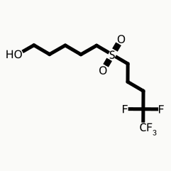 O=S(=O)(CCCCCO)CCCC(F)(F)C(F)(F)F